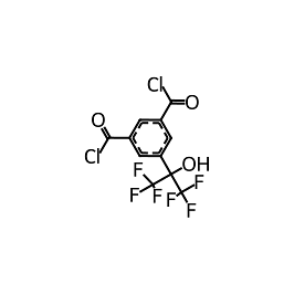 O=C(Cl)c1cc(C(=O)Cl)cc(C(O)(C(F)(F)F)C(F)(F)F)c1